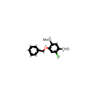 COc1cc(C=O)c(Br)cc1OCc1ccccc1